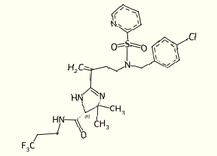 C=C(CCN(Cc1ccc(Cl)cc1)S(=O)(=O)c1ccccn1)C1=NC(C)(C)[C@H](C(=O)NCCC(F)(F)F)N1